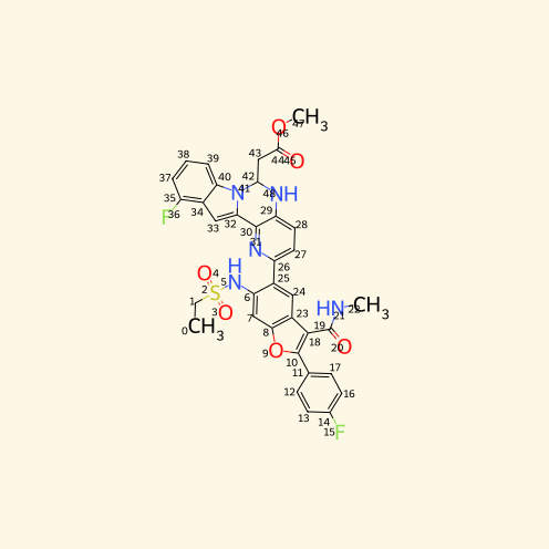 CCS(=O)(=O)Nc1cc2oc(-c3ccc(F)cc3)c(C(=O)NC)c2cc1-c1ccc2c(n1)-c1cc3c(F)cccc3n1C(CC(=O)OC)N2